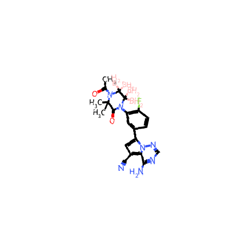 BC1(B)N(c2cc(-c3cc(C#N)c4c(N)ncnn34)ccc2F)C(=O)C(C)(C)N(C(C)=O)C1(B)B